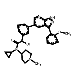 COc1ccccc1-c1n[nH]c2ncc(-c3cccc(C(O)C(=O)N(C4CC4)C4CCN(C)CC4)c3)cc12